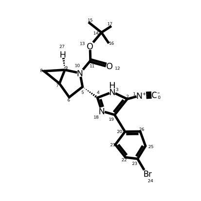 [C-]#[N+]c1[nH]c([C@@H]2CC3C[C@H]3N2C(=O)OC(C)(C)C)nc1-c1ccc(Br)cc1